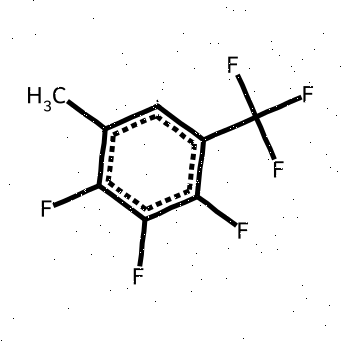 Cc1[c]c(C(F)(F)F)c(F)c(F)c1F